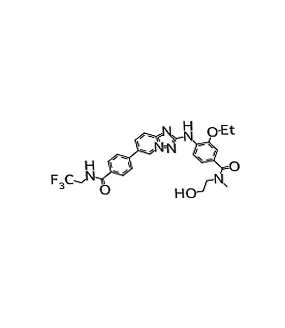 CCOc1cc(C(=O)N(C)CCO)ccc1Nc1nc2ccc(-c3ccc(C(=O)NCC(F)(F)F)cc3)cn2n1